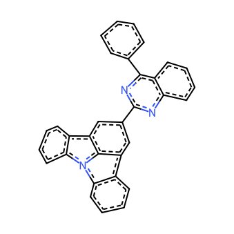 c1ccc(-c2nc(-c3cc4c5ccccc5n5c6ccccc6c(c3)c45)nc3ccccc23)cc1